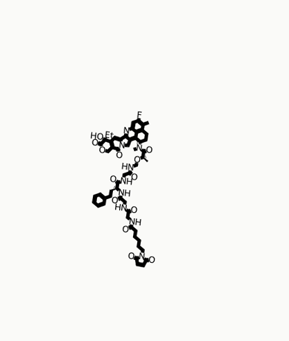 CC[C@@]1(O)C(=O)OCc2c1cc1n(c2=O)Cc2c-1nc1cc(F)c(C)c3c1c2[C@@H](N(C)C(=O)[C@@H](C)OCNC(=O)CNC(=O)[C@H](CCc1ccccc1)NC(=O)CNC(=O)CNC(=O)CCCCCN1C(=O)C=CC1=O)CC3